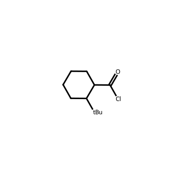 CC(C)(C)C1CCCCC1C(=O)Cl